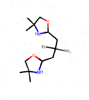 CCC(CC1NC(C)(C)CO1)(CC1NC(C)(C)CO1)[N+](=O)[O-]